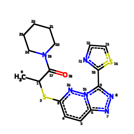 CC(Sc1ccc2nnc(-c3nccs3)n2n1)C(=O)N1CCCCC1